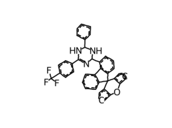 FC(F)(F)c1ccc(C2=NC(c3cccc4c3-c3ccccc3C43c4ccccc4Oc4ccccc43)NC(c3ccccc3)N2)cc1